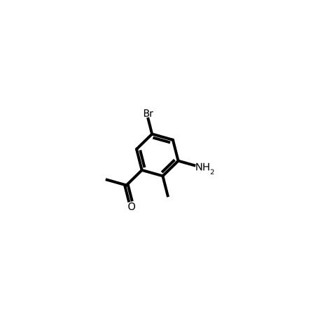 CC(=O)c1cc(Br)cc(N)c1C